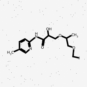 Cc1ccc(NC(=O)C(O)COC(C)COCI)nc1